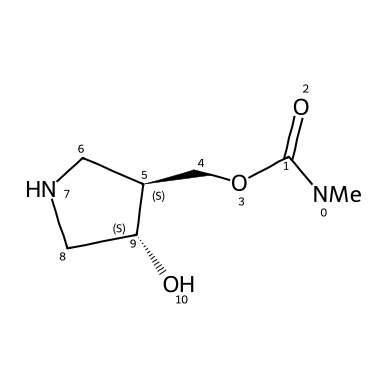 CNC(=O)OC[C@@H]1CNC[C@H]1O